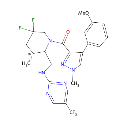 COc1cccc(-c2cn(C)nc2C(=O)N2CC(F)(F)C[C@@H](C)C2CNc2ncc(C(F)(F)F)cn2)c1